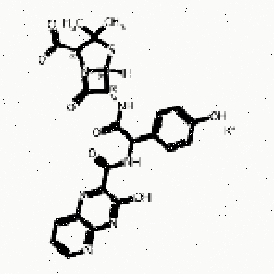 CC1(C)S[C@@H]2[C@H](NC(=O)C(NC(=O)c3nc4cccnc4nc3O)c3ccc(O)cc3)C(=O)N2[C@H]1C(=O)[O-].[K+]